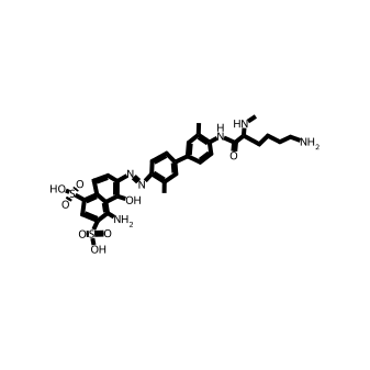 CNC(CCCCN)C(=O)Nc1ccc(-c2ccc(N=Nc3ccc4c(S(=O)(=O)O)cc(S(=O)(=O)O)c(N)c4c3O)c(C)c2)cc1C